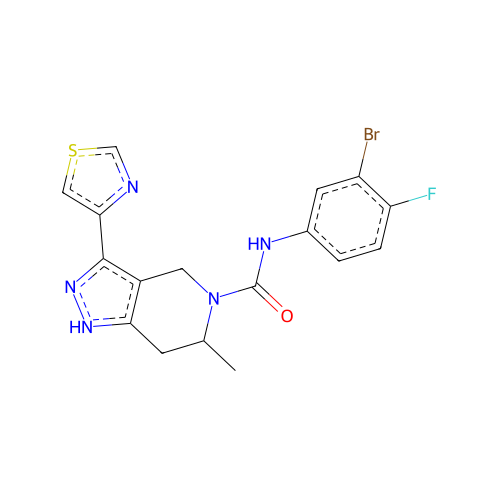 CC1Cc2[nH]nc(-c3cscn3)c2CN1C(=O)Nc1ccc(F)c(Br)c1